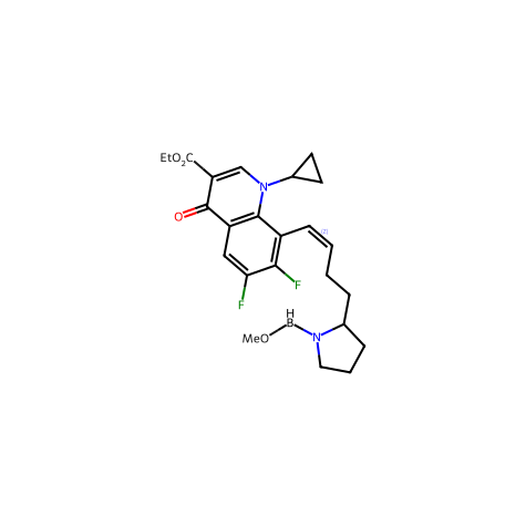 CCOC(=O)c1cn(C2CC2)c2c(/C=C\CCC3CCCN3BOC)c(F)c(F)cc2c1=O